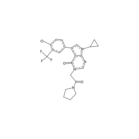 O=C(Cn1cnc2c(c(-c3ccc(Cl)c(C(F)(F)F)c3)cn2C2CC2)c1=O)N1CCCC1